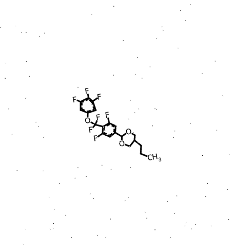 CCCC1COC(c2cc(F)c(C(F)(F)Oc3cc(F)c(F)c(F)c3)c(F)c2)OC1